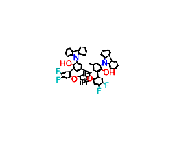 Cc1cc(-c2cc(F)c(F)cc2O[CH2][Ge]([CH2]Oc2cc(F)c(F)cc2-c2cc(C)cc(-n3c4ccccc4c4ccccc43)c2O)([CH](C)C)[CH](C)C)c(O)c(-n2c3ccccc3c3ccccc32)c1